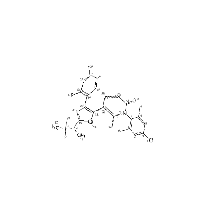 Cc1cc(Cl)cc(C)c1-n1c(C)c(-c2oc(C(O)C(C)(C)O)nc2-c2ccc(F)cc2F)ccc1=O